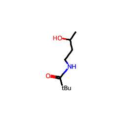 CC(O)CCNC(=O)C(C)(C)C